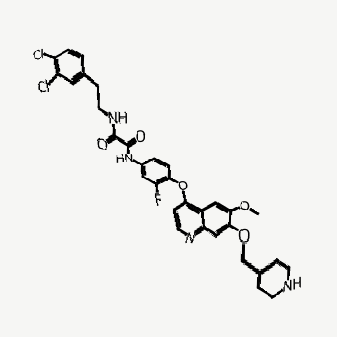 COc1cc2c(Oc3ccc(NC(=O)C(=O)NCCc4ccc(Cl)c(Cl)c4)cc3F)ccnc2cc1OCC1CCNCC1